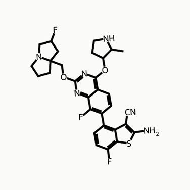 CC1NCCC1Oc1nc(OCC23CCCN2CC(F)C3)nc2c(F)c(-c3ccc(F)c4sc(N)c(C#N)c34)ccc12